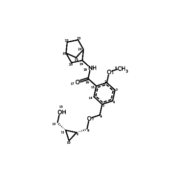 COc1ccc(COC[C@@H]2C[C@@H]2CO)cc1C(=O)NC1CC2CCC1C2